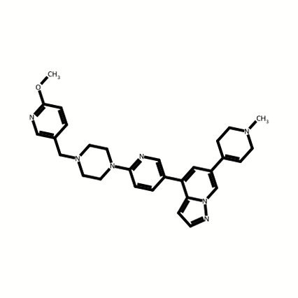 COc1ccc(CN2CCN(c3ccc(-c4cc(C5=CCN(C)CC5)cn5nccc45)cn3)CC2)cn1